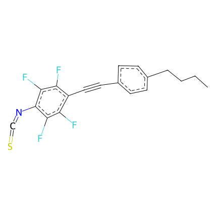 CCCCc1ccc(C#Cc2c(F)c(F)c(N=C=S)c(F)c2F)cc1